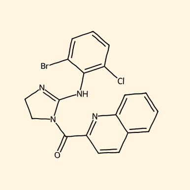 O=C(c1ccc2ccccc2n1)N1CCN=C1Nc1c(Cl)cccc1Br